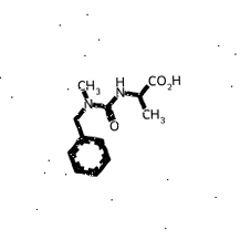 CC(NC(=O)N(C)Cc1ccccc1)C(=O)O